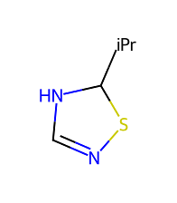 CC(C)C1NC=NS1